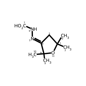 CC1(C)CC(=NNC(=O)O)C(C)(C)O1